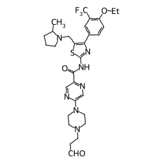 CCOc1ccc(-c2nc(NC(=O)c3cnc(N4CCN(CCC=O)CC4)cn3)sc2CN2CCCC2C)cc1C(F)(F)F